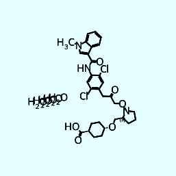 Cn1cc(C(=O)Nc2cc(Cl)c(CC(=O)CON3CCC[C@H]3CO[C@H]3CC[C@H](C(=O)O)CC3)cc2Cl)c2ccccc21.O.O.O.O.O